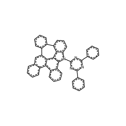 c1ccc(-c2nc(-c3ccccc3)nc(-n3c4cccc5c4c4c6c(cc7ccccc7c6c6ccccc6c43)-c3ccccc3-5)n2)cc1